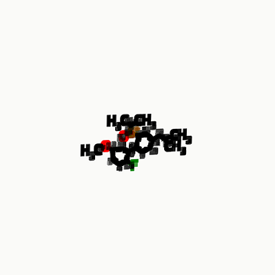 COc1ccc(F)c(-c2ccc(CC(C)C)cc2[S+]([O-])C(C)C)c1